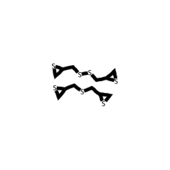 C(SCC1CS1)C1CS1.C(SSCC1CS1)C1CS1